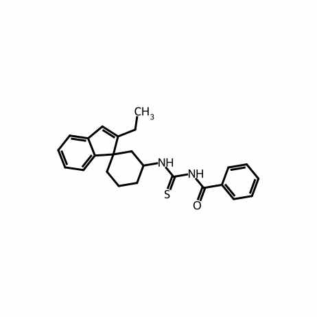 CCC1=Cc2ccccc2C12CCCC(NC(=S)NC(=O)c1ccccc1)C2